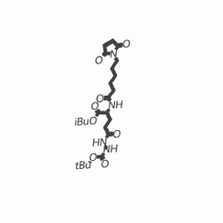 CC(C)COC(=O)C(CCC(=O)NNC(=O)OC(C)(C)C)NC(=O)CCCCCN1C(=O)C=CC1=O